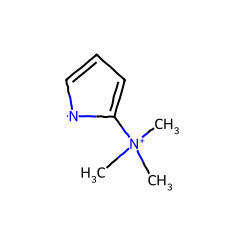 C[N+](C)(C)C1=CC=C[N]1